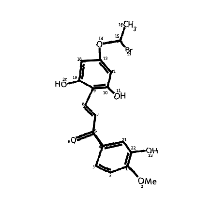 COc1ccc(C(=O)/C=C/c2c(O)cc(OC(C)Br)cc2O)cc1O